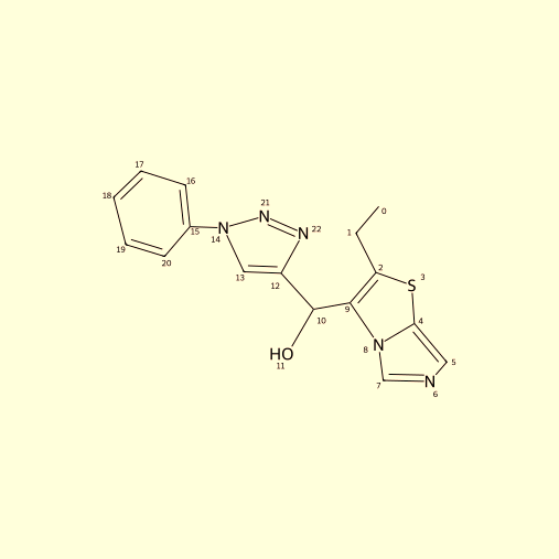 CCc1sc2cncn2c1C(O)c1cn(-c2ccccc2)nn1